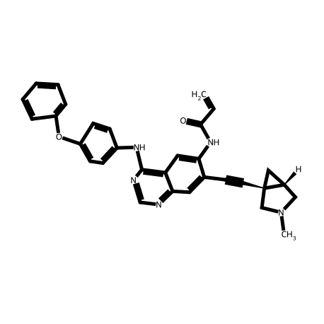 C=CC(=O)Nc1cc2c(Nc3ccc(Oc4ccccc4)cc3)ncnc2cc1C#C[C@@]12C[C@@H]1CN(C)C2